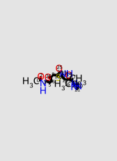 CC(=O)Nc1ccc(/C=c2\s/c(=C/C(=O)C(C)(C)n3cncn3)[nH]c2=O)o1